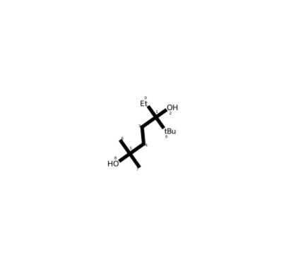 CCC(O)(CCC(C)(C)O)C(C)(C)C